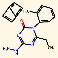 CCc1nc(NN)nc(=O)n1-c1ccccc1C.c1cc2ccc1-2